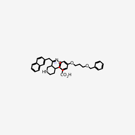 O=C(O)CCO/N=C(/Cc1ccc2ccccc2c1)C1CNCCC1c1ccc(OCCCOCc2ccccc2)cc1